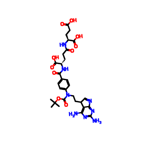 CC(C)(C)OC(=O)N(CCC1C=Nc2nc(N)nc(N)c21)c1ccc(C(=O)N[C@@H](CCC(=O)N[C@@H](CCC(=O)O)C(=O)O)C(=O)O)cc1